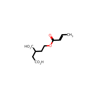 CC=CC(=O)OCCC(CC(=O)O)C(=O)O